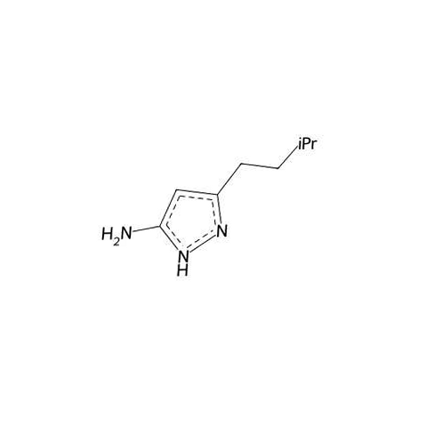 CC(C)CCc1cc(N)[nH]n1